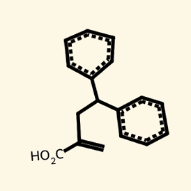 C=C(CC(c1ccccc1)c1ccccc1)C(=O)O